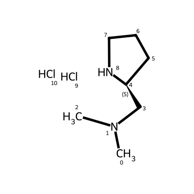 CN(C)C[C@@H]1CCCN1.Cl.Cl